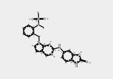 CN(c1ccccc1Cn1ccc2cnc(Nc3ccc4[nH]c(=O)oc4c3)nc21)S(C)(=O)=O